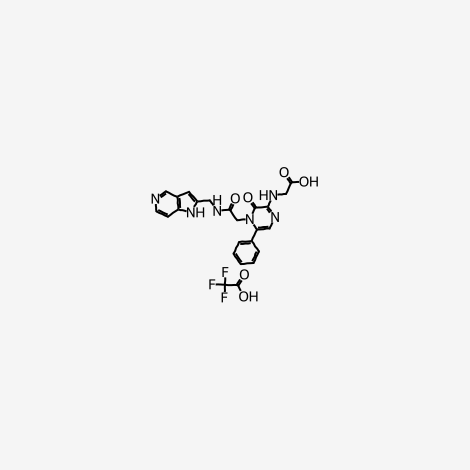 O=C(O)C(F)(F)F.O=C(O)CNc1ncc(-c2ccccc2)n(CC(=O)NCc2cc3cnccc3[nH]2)c1=O